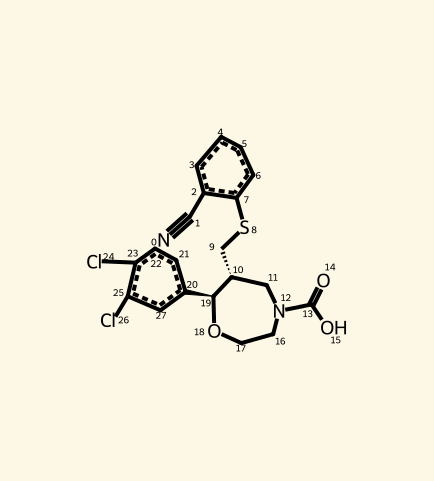 N#Cc1ccccc1SC[C@@H]1CN(C(=O)O)CCO[C@H]1c1ccc(Cl)c(Cl)c1